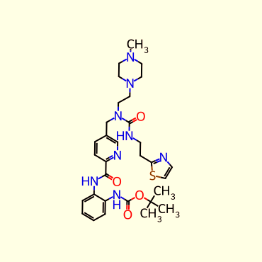 CN1CCN(CCN(Cc2ccc(C(=O)Nc3ccccc3NC(=O)OC(C)(C)C)nc2)C(=O)NCCc2nccs2)CC1